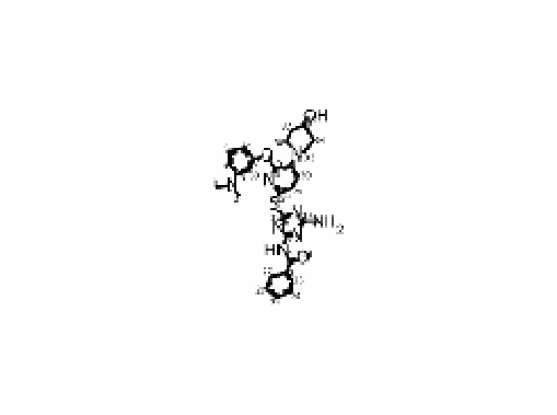 CN(C)c1cccc(Oc2nc(Sc3nc(N)nc(NC(=O)c4ccccc4)n3)ccc2N2CCC(O)CC2)c1